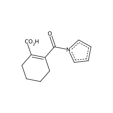 O=C(O)C1=C(C(=O)n2cccc2)CCCC1